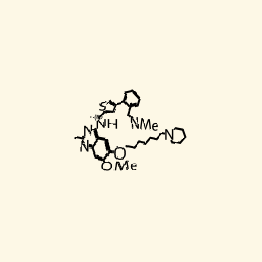 CNCc1ccccc1-c1csc([C@@H](C)Nc2nc(C)nc3cc(OC)c(OCCCCCCCN4CCCCC4)cc23)c1